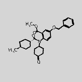 COC(=O)c1cc(OCc2ccccc2)ccc1N(C(=O)[C@H]1CC[C@H](C)CC1)C1CCC(=O)CC1